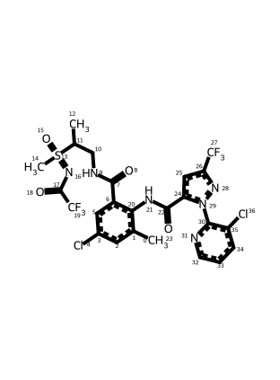 Cc1cc(Cl)cc(C(=O)NCC(C)S(C)(=O)=NC(=O)C(F)(F)F)c1NC(=O)c1cc(C(F)(F)F)nn1-c1ncccc1Cl